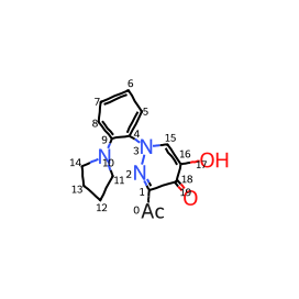 CC(=O)c1nn(-c2ccccc2N2CCCC2)cc(O)c1=O